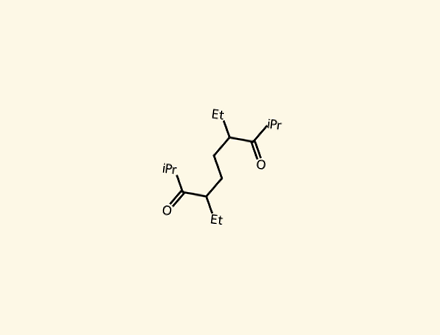 CCC(CCC(CC)C(=O)C(C)C)C(=O)C(C)C